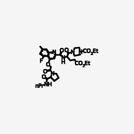 CCCNC(=O)C1CCCN1C(=O)COc1cc(C(=O)NC(CCC(=O)OCC)C(=O)N2CCN(C(=O)OCC)CC2)nc2cc(C)cc(F)c12